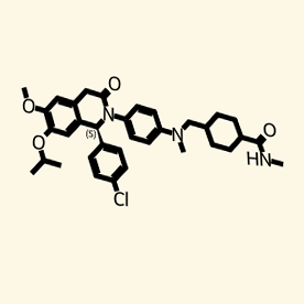 CNC(=O)C1CCC(CN(C)c2ccc(N3C(=O)Cc4cc(OC)c(OC(C)C)cc4[C@@H]3c3ccc(Cl)cc3)cc2)CC1